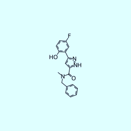 CN(Cc1ccccc1)C(=O)c1cc(-c2cc(F)ccc2O)n[nH]1